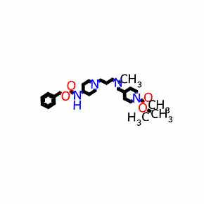 CN(CCCN1CCC(NC(=O)OCc2ccccc2)CC1)CC1CCN(C(=O)OC(C)(C)C)CC1